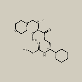 C[C@@H](CN1CCOCC1)N(OC(C)(C)C)C(=O)CC[C@H](NC(=O)OC(C)(C)C)C1CCCCC1